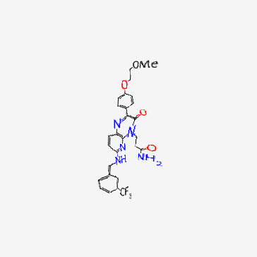 COCCOc1ccc(-c2nc3ccc(NCc4cccc(C(F)(F)F)c4)nc3n(CCC(N)=O)c2=O)cc1